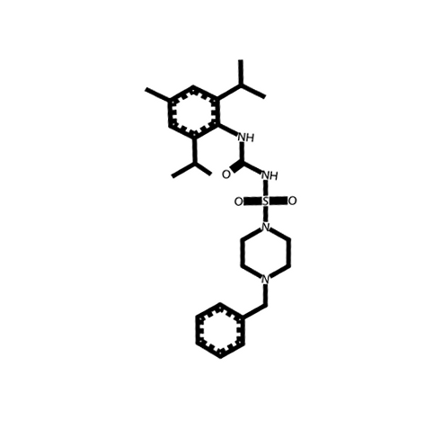 Cc1cc(C(C)C)c(NC(=O)NS(=O)(=O)N2CCN(Cc3ccccc3)CC2)c(C(C)C)c1